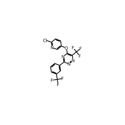 FC(F)(F)c1cccc(-c2nnc(C(F)(F)F)c(Oc3ccc(Cl)nc3)n2)c1